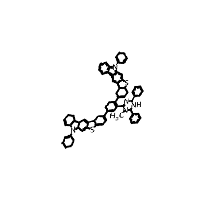 CN1C(C2=C(C3=CCC4Sc5cc6c(cc5C4C3)c3ccccc3n6C3=CCCC=C3)CCC(C3=CC=C4SC5=CC6C(C=C5C4C3)C3=C(C=CCC3)N6C3=CCCCC3)=C2)=NC(c2ccccc2)NC1c1ccccc1